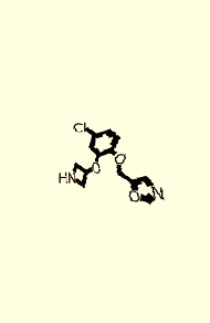 Clc1ccc(OCc2cnco2)c(OC2CNC2)c1